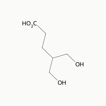 O=C(O)CCC(CO)CO